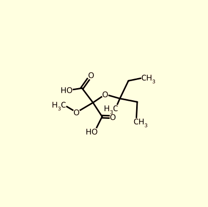 CCC(C)(CC)OC(OC)(C(=O)O)C(=O)O